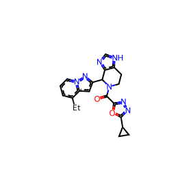 CCc1cccn2nc(C3c4nc[nH]c4CCN3C(=O)c3nnc(C4CC4)o3)cc12